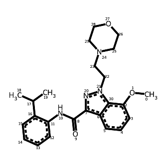 COc1cccc2c(C(=O)Nc3ccccc3C(C)C)nn(CCN3CCOCC3)c12